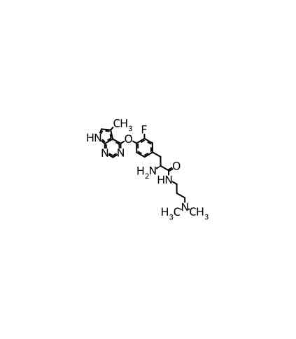 Cc1c[nH]c2ncnc(Oc3ccc(C[C@H](N)C(=O)NCCCN(C)C)cc3F)c12